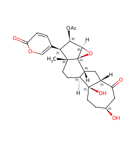 CC(=O)O[C@H]1[C@H]2O[C@]23[C@@H]2C[C@@H]4C(=O)C[C@@H](O)CC[C@]4(O)[C@H]2CC[C@]3(C)[C@H]1c1ccc(=O)oc1